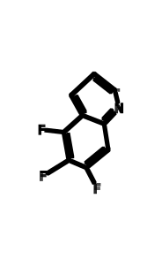 Fc1cc2n[c]ccc2c(F)c1F